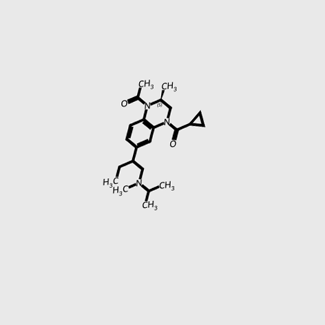 CCC(CN(C)C(C)C)c1ccc2c(c1)N(C(=O)C1CC1)C[C@H](C)N2C(C)=O